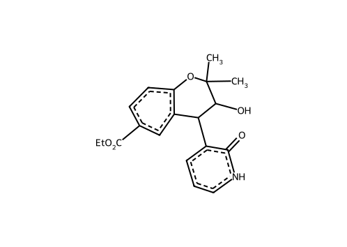 CCOC(=O)c1ccc2c(c1)C(c1ccc[nH]c1=O)C(O)C(C)(C)O2